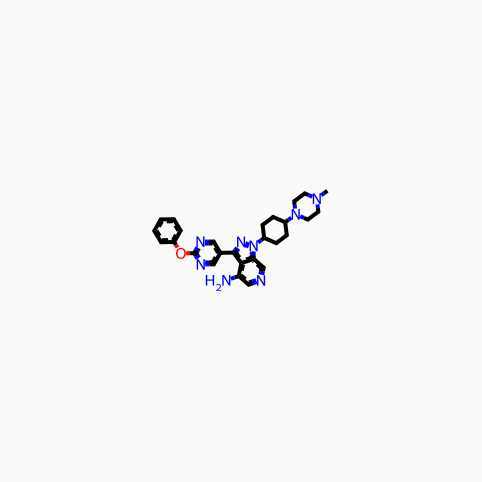 CN1CCN(C2CCC(n3nc(-c4cnc(Oc5ccccc5)nc4)c4c(N)cncc43)CC2)CC1